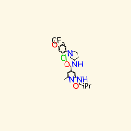 Cc1cc(C(=O)NC2CCCN(c3ccc(OC(F)(F)F)cc3Cl)C2)cc(NC(=O)C(C)C)n1